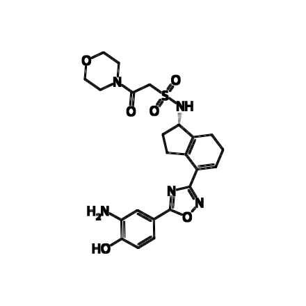 Nc1cc(-c2nc(C3=CCCC4=C3CC[C@@H]4NS(=O)(=O)CC(=O)N3CCOCC3)no2)ccc1O